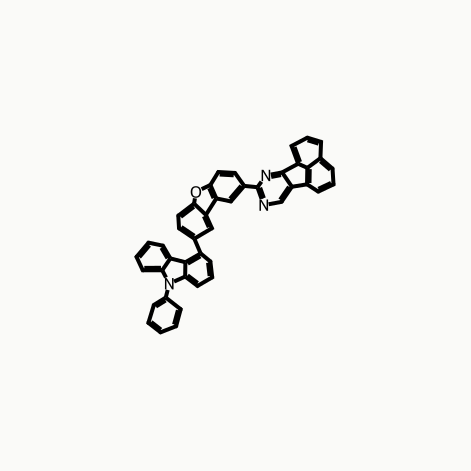 c1ccc(-n2c3ccccc3c3c(-c4ccc5oc6ccc(-c7ncc8c(n7)-c7cccc9cccc-8c79)cc6c5c4)cccc32)cc1